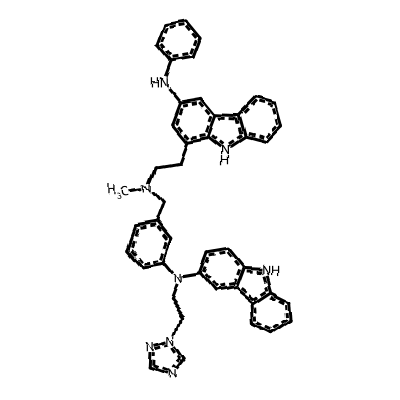 CN(CCc1cc(Nc2ccccc2)cc2c1[nH]c1ccccc12)Cc1cccc(N(CCn2cncn2)c2ccc3[nH]c4ccccc4c3c2)c1